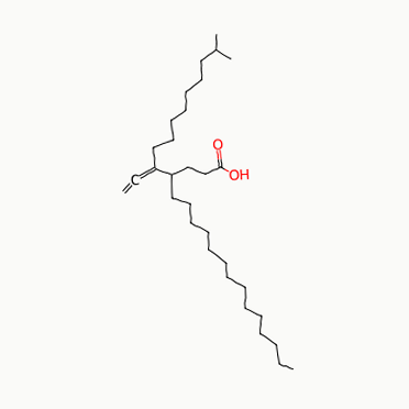 C=C=C(CCCCCCCC(C)C)C(CCCCCCCCCCCCCC)CCC(=O)O